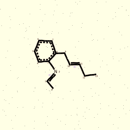 C/C=N/c1ccccc1C/C=C/CC